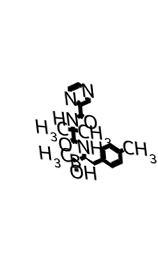 CB(O)[C@H](Cc1ccc(C)cc1)NC(=O)C(C)(C)NC(=O)c1cnccn1